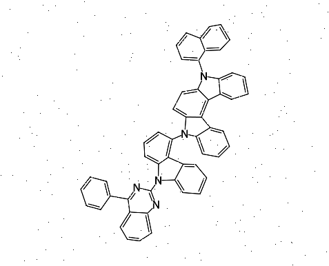 c1ccc(-c2nc(-n3c4ccccc4c4c(-n5c6ccccc6c6c7c8ccccc8n(-c8cccc9ccccc89)c7ccc65)cccc43)nc3ccccc23)cc1